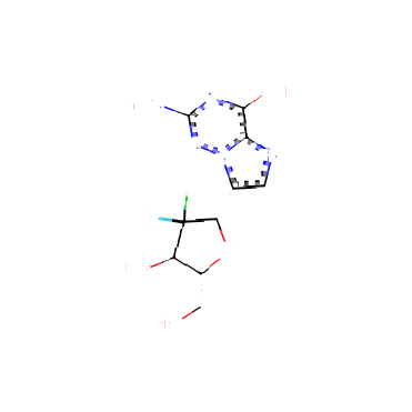 Nc1nc(O)c2ncc([C@@H]3O[C@H](CO)C(O)C3(F)Cl)n2n1